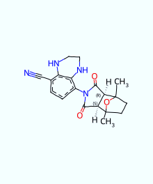 CC12CCC(C)(O1)[C@H]1C(=O)N(c3ccc(C#N)c4c3NCCN4)C(=O)[C@H]12